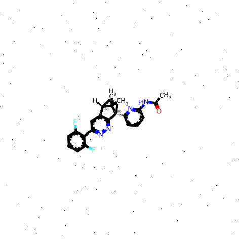 CC(=O)Nc1cccc([C@]23CC[C@@H](c4cc(-c5c(F)cccc5F)nnc42)C3(C)C)n1